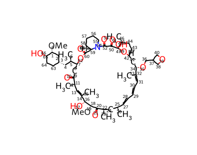 CO[C@@H]1C[C@H](C[C@@H](C)[C@@H]2CC(=O)[C@H](C)/C=C(\C)[C@@H](O)[C@@H](OC)C(=O)[C@H](C)C[C@H](C)/C=C/C=C/C=C(\C)[C@@H](OCC3COC3)C[C@@H]3CC[C@@H](C)[C@@](O)(O3)C(=O)C(=O)N3CCCC[C@H]3C(=O)O2)CC[C@H]1O